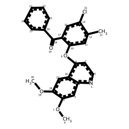 COc1cc2nccc(Oc3cc(C)c(Cl)cc3C(=O)c3ccccc3)c2cc1OC